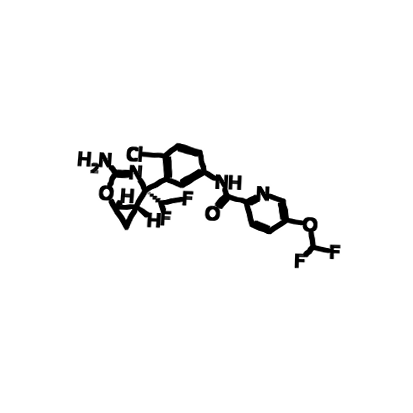 NC1=N[C@](c2cc(NC(=O)c3ccc(OC(F)F)cn3)ccc2Cl)(C(F)F)[C@@H]2C[C@@H]2O1